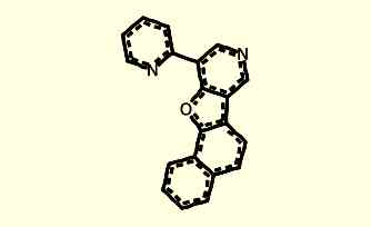 c1ccc(-c2cncc3c2oc2c4ccccc4ccc32)nc1